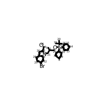 CC(CO[Si](c1ccccc1)(c1ccccc1)C(C)(C)C)Cn1c(C=O)cc2ccc(Br)cc21